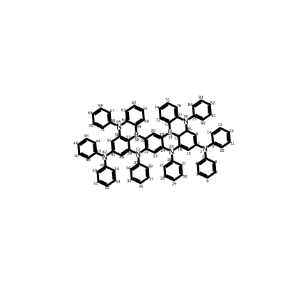 C1=C(N(c2ccccc2)c2ccccc2)C=C2C3B(c4cc5c(cc4N2c2ccccc2)N(c2ccccc2)c2cc(N(c4ccccc4)c4ccccc4)cc4c2B5c2ccccc2N4c2ccccc2)c2ccccc2N(c2ccccc2)C13